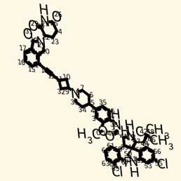 COc1cc(C2CCN(C3CC(C#Cc4cccc5c4CN(C4CCC(=O)NC4=O)C5=O)C3)CC2)ccc1NC(=O)[C@@H]1N[C@@H](CC(C)(C)C)[C@@]2(CNc3cc(Cl)ccc32)[C@H]1c1cccc(Cl)c1F